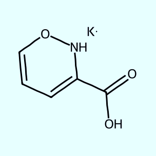 O=C(O)C1=CC=CON1.[K]